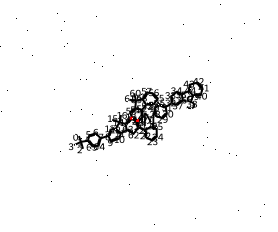 CC(C)(C)c1ccc(-c2ccc3c(c2)C(C)(C)c2ccc(-c4ccccc4N(c4ccc(-c5ccc6c(c5)sc5ccccc56)cc4)c4cccc5c4-c4ccccc4C5(C)C)cc2-3)cc1